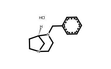 Cl.c1ccc(CN2CCN3CC[C@@H]2C3)cc1